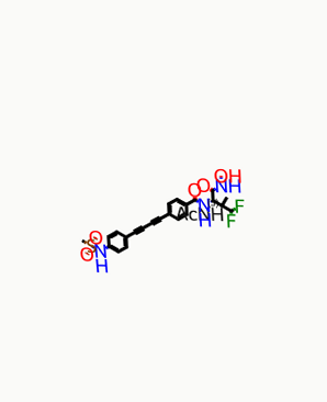 CC(=O)NC(C)(C(F)F)[C@H](NC(=O)c1ccc(C#CC#Cc2ccc(NS(C)(=O)=O)cc2)cc1)C(=O)NO